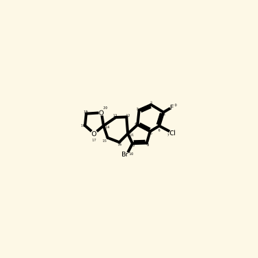 Fc1ccc2c(c1Cl)C=C(Br)C21CCC2(CC1)OCCO2